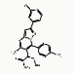 COC(=O)C(OC(C)(C)C)c1c(C)nc2cc(-c3cccc(Cl)c3)nn2c1-c1ccc(C)cc1